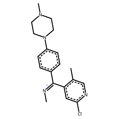 C/N=C(/c1ccc(N2CCN(C)CC2)cc1)c1cc(Cl)ncc1C